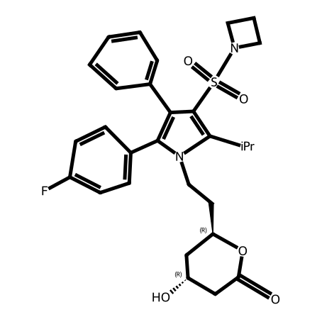 CC(C)c1c(S(=O)(=O)N2CCC2)c(-c2ccccc2)c(-c2ccc(F)cc2)n1CC[C@@H]1C[C@@H](O)CC(=O)O1